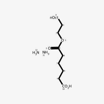 CCCCCCCCCCOC(=O)CCCCC(=O)O.N.N